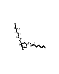 C/C=C/CCCCOc1[c]ccc(OCCCC/C=C/C)c1